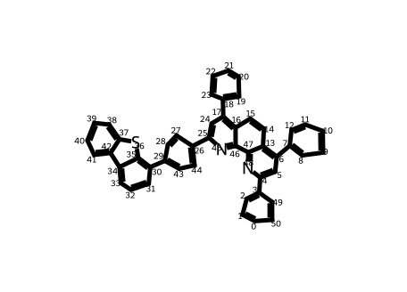 c1ccc(-c2cc(-c3ccccc3)c3ccc4c(-c5ccccc5)cc(-c5ccc(-c6cccc7c6sc6ccccc67)cc5)nc4c3n2)cc1